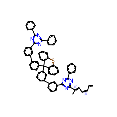 C=C/C=C\C=C(/C)c1nc(-c2ccccc2)nc(-c2cccc(-c3cccc(C4(c5cccc(-c6cccc(-c7nc(-c8ccccc8)nc(-c8ccccc8)n7)c6)c5)c5ccccc5Sc5ccccc54)c3)c2)n1